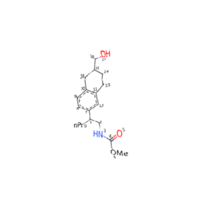 CCCC(CNC(=O)OC)c1ccc2c(c1)CCC(CO)C2